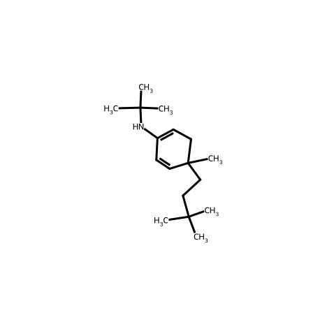 CC(C)(C)CCC1(C)C=CC(NC(C)(C)C)=CC1